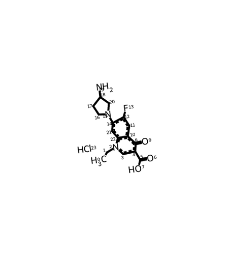 CCn1cc(C(=O)O)c(=O)c2cc(F)c(N3CCC(N)C3)cc21.Cl